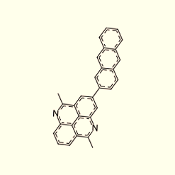 Cc1nc2cc(-c3ccc4cc5ccccc5cc4c3)cc3c(C)nc4cccc1c4c23